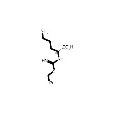 CC(C)CSC(=N)N[C@H](CCCN)C(=O)O